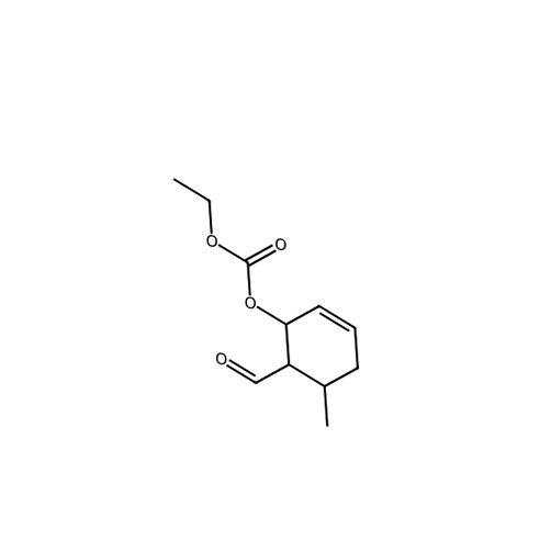 CCOC(=O)OC1C=CCC(C)C1C=O